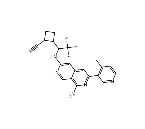 Cc1ccncc1-c1cc2cc(NC(C3CCC3C#N)C(F)(F)F)ncc2c(N)n1